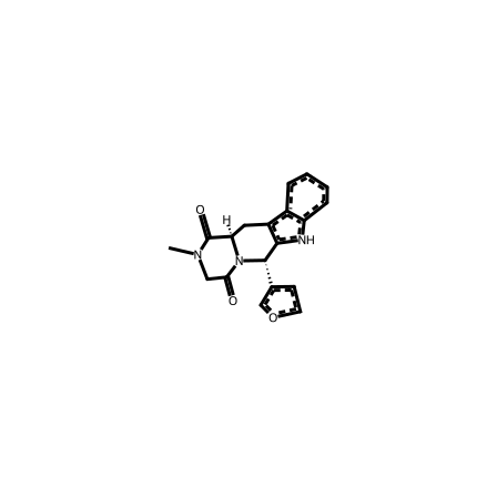 CN1CC(=O)N2[C@@H](c3ccoc3)c3[nH]c4ccccc4c3C[C@@H]2C1=O